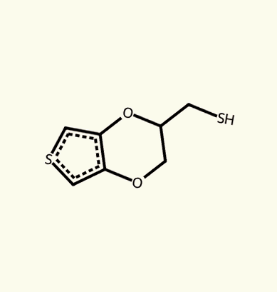 SCC1COc2cscc2O1